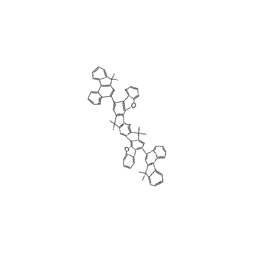 CC1(C)c2ccccc2-c2c1cc(-c1cc3c(c4oc5ccccc5c14)-c1cc4c(cc1C3(C)C)-c1c(cc(-c3cc5c(c6ccccc36)-c3ccccc3C5(C)C)c3c1oc1ccccc13)C4(C)C)c1ccccc21